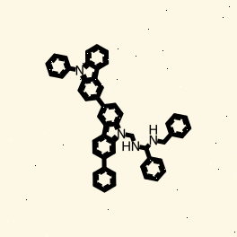 c1ccc(CNC(NCn2c3ccc(-c4ccc5c(c4)c4ccccc4n5-c4ccccc4)cc3c3ccc(-c4ccccc4)cc32)c2ccccc2)cc1